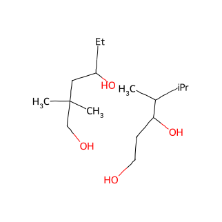 CC(C)C(C)C(O)CCO.CCC(O)CC(C)(C)CO